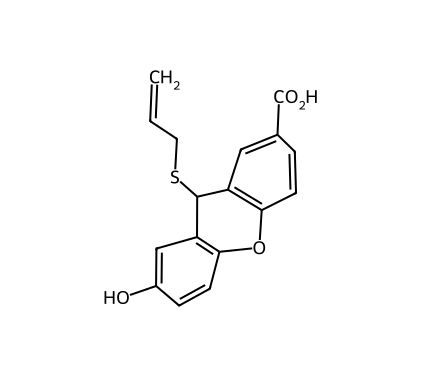 C=CCSC1c2cc(O)ccc2Oc2ccc(C(=O)O)cc21